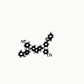 N#Cc1ccc(N(c2ccc(-c3nc4ccccc4s3)cc2)c2ccc3c(ccc4cc(N(c5ccc(C#N)cc5)c5ccc6sc7ccccc7c6c5)ccc43)c2)cc1